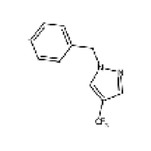 FC(F)(F)c1cnn(Cc2cc[c]cc2)c1